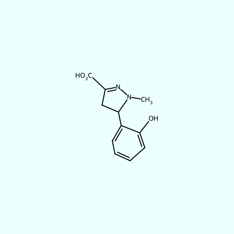 CN1N=C(C(=O)O)CC1c1ccccc1O